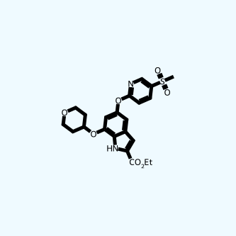 CCOC(=O)c1cc2cc(Oc3ccc(S(C)(=O)=O)cn3)cc(OC3CCOCC3)c2[nH]1